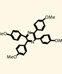 COc1ccc(-c2nc(-c3ccc(OC)cc3)c(-c3ccc(OC)cc3)nc2-c2ccc(OC)cc2)cc1